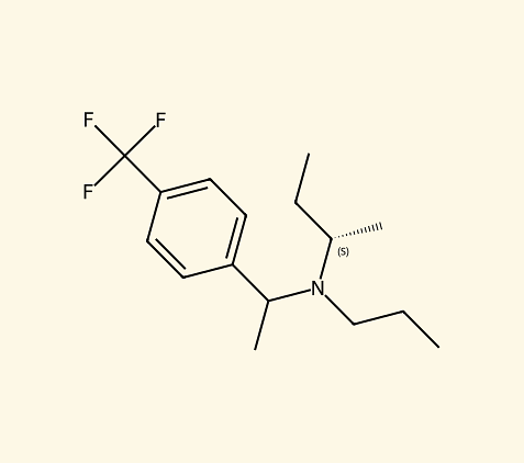 CCCN(C(C)c1ccc(C(F)(F)F)cc1)[C@@H](C)CC